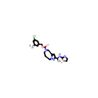 CC(NC1=NCCS1)c1cc2n(n1)CCCN(C(=O)OCc1cc(Cl)cc(C(F)(F)F)c1)C2